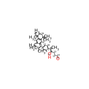 CC(C)=C(c1ccc(/C(C)=C(\O)CCC=O)cc1)c1cc2c(cc1C)C(C)(C)CCC2(C)C